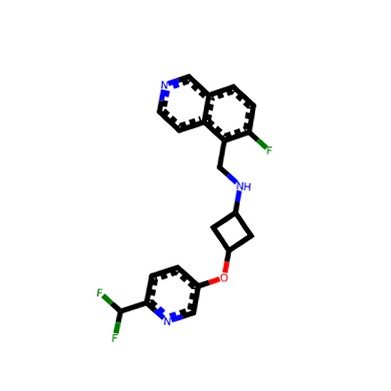 Fc1ccc2cnccc2c1CNC1CC(Oc2ccc(C(F)F)nc2)C1